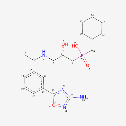 CC(NC[C@H](O)CP(=O)(O)CC1CCCCC1)c1cccc(-c2nc(N)no2)c1